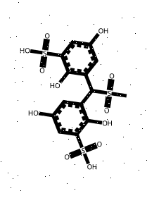 CS(=O)(=O)C(c1cc(O)cc(S(=O)(=O)O)c1O)c1cc(O)cc(S(=O)(=O)O)c1O